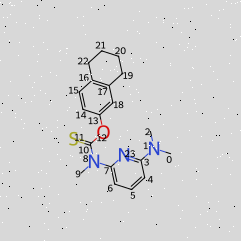 CN(C)c1cccc(N(C)C(=S)Oc2ccc3c(c2)CCCC3)n1